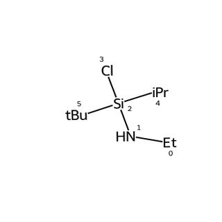 CCN[Si](Cl)(C(C)C)C(C)(C)C